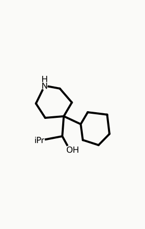 CC(C)C(O)C1(C2CCCCC2)CCNCC1